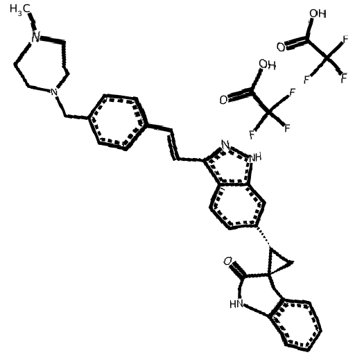 CN1CCN(Cc2ccc(/C=C/c3n[nH]c4cc([C@@H]5C[C@@]56C(=O)Nc5ccccc56)ccc34)cc2)CC1.O=C(O)C(F)(F)F.O=C(O)C(F)(F)F